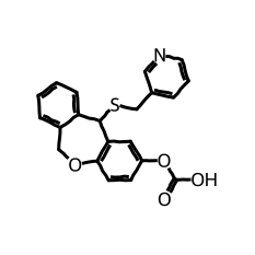 O=C(O)Oc1ccc2c(c1)C(SCc1cccnc1)c1ccccc1CO2